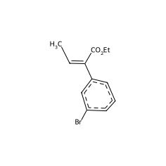 CC=C(C(=O)OCC)c1cccc(Br)c1